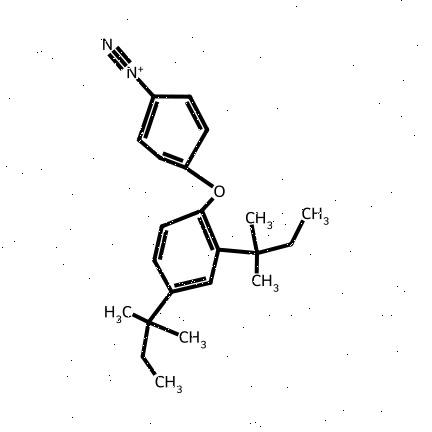 CCC(C)(C)c1ccc(Oc2ccc([N+]#N)cc2)c(C(C)(C)CC)c1